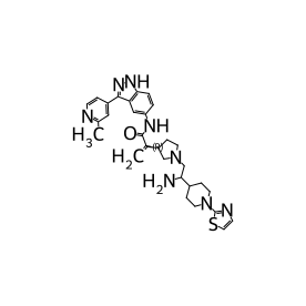 C=C(C(=O)Nc1ccc2[nH]nc(-c3ccnc(C)c3)c2c1)[C@H]1CCN(CC(N)C2CCN(c3nccs3)CC2)C1